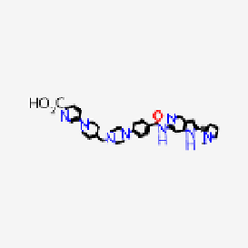 CN1CCC[C@@H]1c1cc2cnc(NC(=O)c3ccc(N4CCN(CC5CCN(c6ccc(C(=O)O)nc6)CC5)CC4)cc3)cc2[nH]1